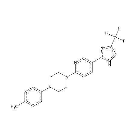 Cc1ccc(N2CCN(c3ccc(-c4nc(C(F)(F)F)c[nH]4)cn3)CC2)cc1